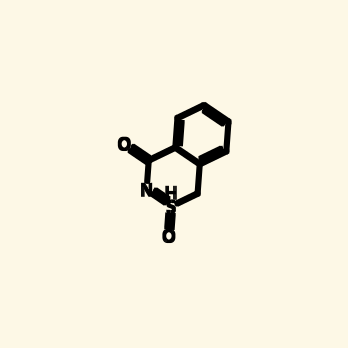 O=C1N=[SH](=O)Cc2ccccc21